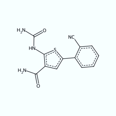 N#Cc1ccccc1-c1cc(C(N)=O)c(NC(N)=O)s1